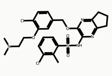 Cc1c(Cl)cccc1S(=O)(=O)Nc1nc2c(nc1OCc1ccc(Cl)c(OCCN(C)C)c1)CCC2